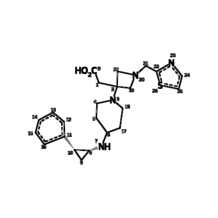 O=C(O)CC1(N2CCC(N[C@@H]3C[C@@H]3c3ccccc3)CC2)CN(Cc2nccs2)C1